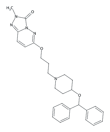 Cn1nc2ccc(OCCCN3CCC(OC(c4ccccc4)c4ccccc4)CC3)nn2c1=O